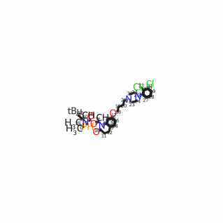 CPN(C(=O)OC(C)N1C(=O)CCc2ccc(OCCCCN3CCN(c4cccc(Cl)c4Cl)CC3)cc21)C(C)(C)CC(C)(C)C